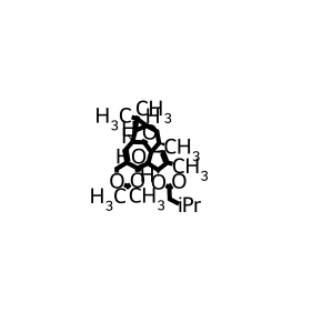 CC1=C[C@]23C(=O)[C@@H](C=C4COC(C)(C)O[C@H]4[C@]2(O)[C@H]1OC(=O)CC(C)C)[C@H]1[C@@H](C[C@H]3C)C1(C)C